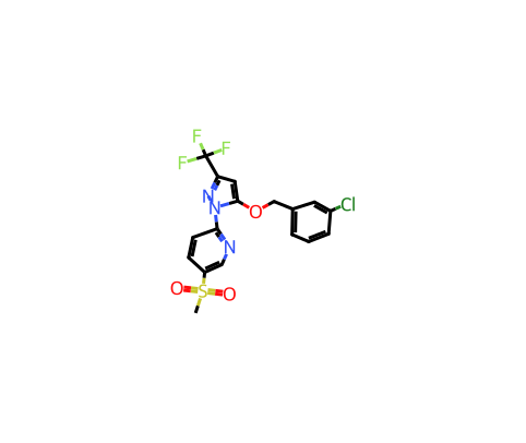 CS(=O)(=O)c1ccc(-n2nc(C(F)(F)F)cc2OCc2cccc(Cl)c2)nc1